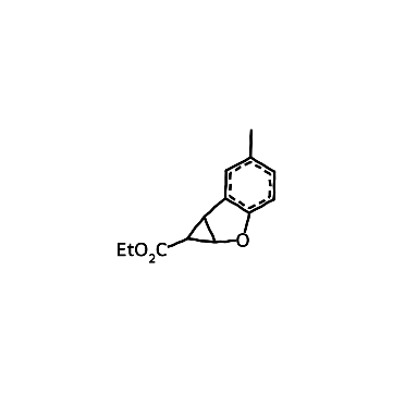 CCOC(=O)C1C2Oc3ccc(C)cc3C21